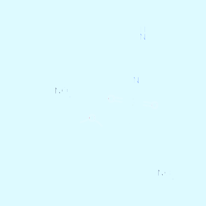 Cc1ccc([N+](=O)[O-])c(Oc2ccc([N+](=O)[O-])cc2S(=O)(=O)N2CCNCC2)c1